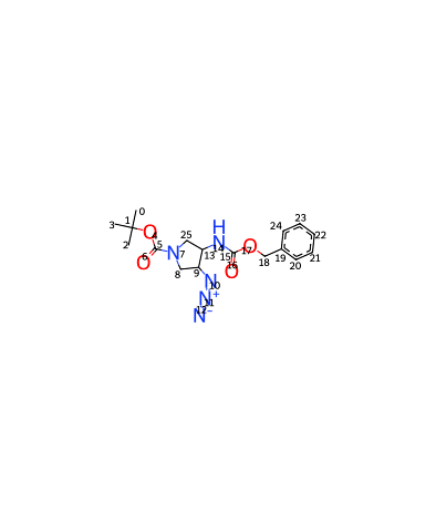 CC(C)(C)OC(=O)N1CC(N=[N+]=[N-])C(NC(=O)OCc2ccccc2)C1